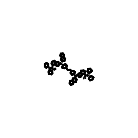 C/N=C(\c1cccc2cc(N(c3ccc(/C=C/c4ccc(N(c5ccc6ccccc6c5)c5ccc6c(-c7n(-c8ccccc8)c8ccccc8[n+]7C)cccc6c5)cc4)cc3)c3ccc4ccccc4c3)ccc12)N(C1=CC=CCC1)c1ccccc1